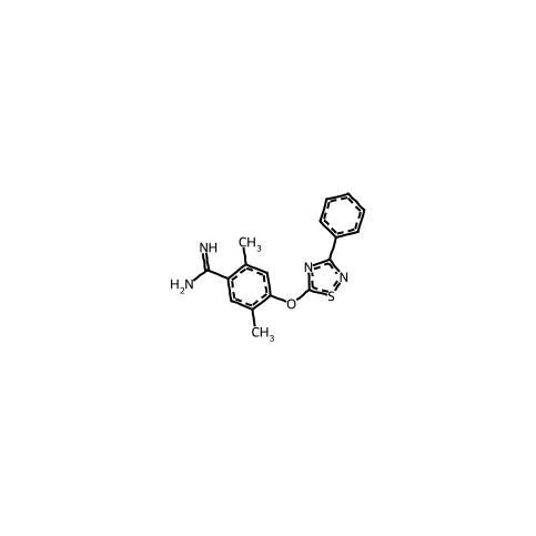 Cc1cc(C(=N)N)c(C)cc1Oc1nc(-c2ccccc2)ns1